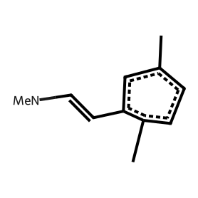 CN/C=C/c1cc(C)ccc1C